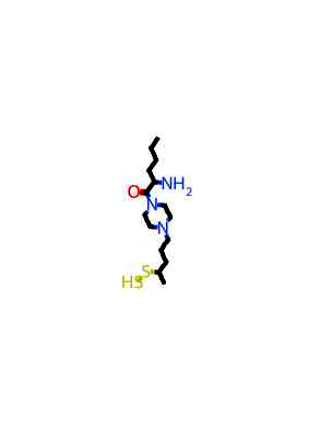 CCCCC(N)C(=O)N1CCN(CCCC(C)SS)CC1